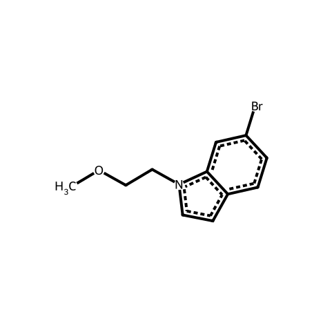 COCCn1ccc2ccc(Br)cc21